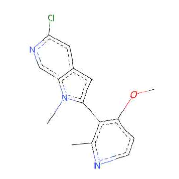 COc1ccnc(C)c1-c1cc2cc(Cl)ncc2n1C